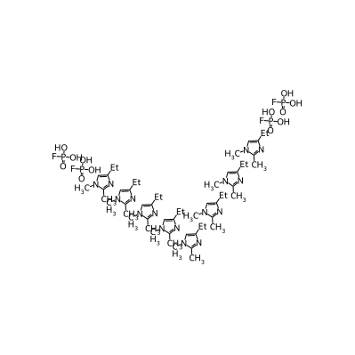 CCc1cn(C)c(C)n1.CCc1cn(C)c(C)n1.CCc1cn(C)c(C)n1.CCc1cn(C)c(C)n1.CCc1cn(C)c(C)n1.CCc1cn(C)c(C)n1.CCc1cn(C)c(C)n1.CCc1cn(C)c(C)n1.O=P(O)(O)F.O=P(O)(O)F.O=P(O)(O)F.O=P(O)(O)F